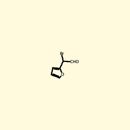 O=CC(Br)c1ccco1